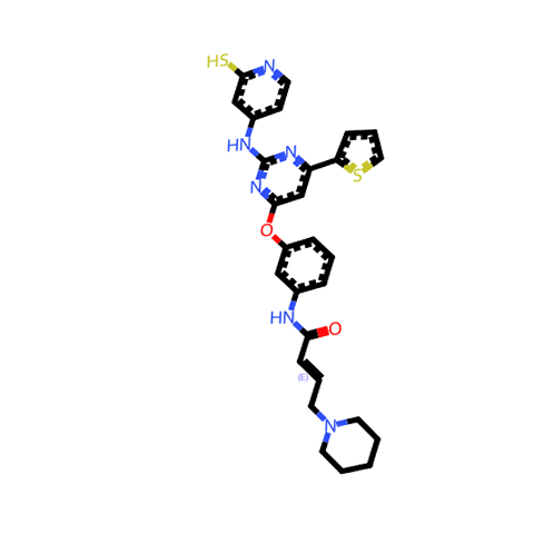 O=C(/C=C/CN1CCCCC1)Nc1cccc(Oc2cc(-c3cccs3)nc(Nc3ccnc(S)c3)n2)c1